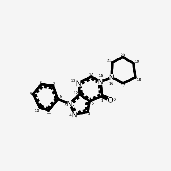 O=c1c2cnn(-c3ccccc3)c2ncn1N1CCCCC1